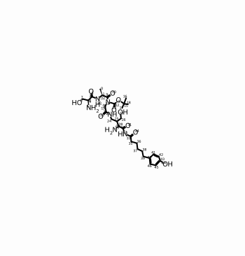 C[C@H](NC(=O)[C@@H](N)CO)C(=O)N(C(=O)OC(C)(C)C)[C@@H](C)C(=O)NCC(CO)[C@H](N)C(=O)NC(=O)CCCCCc1ccc(O)cc1